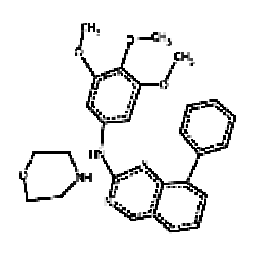 C1COCCN1.COc1cc(Nc2ncc3cccc(-c4ccccc4)c3n2)cc(OC)c1OC